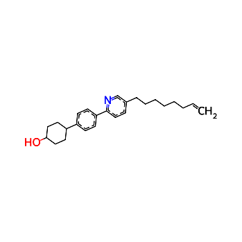 C=CCCCCCCc1ccc(-c2ccc(C3CCC(O)CC3)cc2)nc1